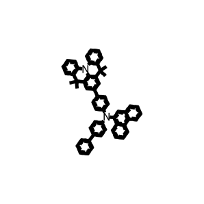 CC1(C)c2ccccc2N2c3ccccc3C(C)(C)c3cc(-c4ccc(N(c5ccc(-c6ccccc6)cc5)c5cc6ccccc6c6ccccc56)cc4)cc1c32